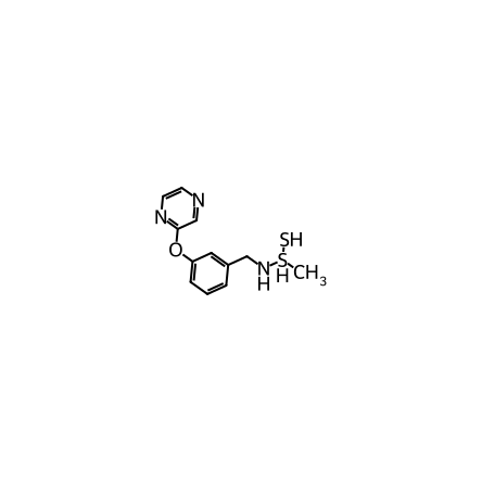 C[SH](S)NCc1cccc(Oc2cnccn2)c1